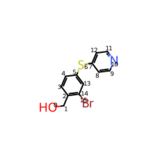 OCc1ccc(Sc2ccncc2)cc1Br